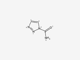 NC(=O)n1c[c]nn1